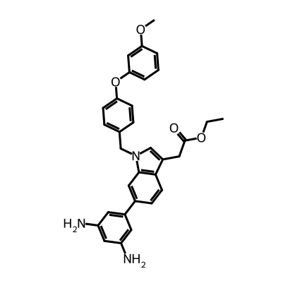 CCOC(=O)Cc1cn(Cc2ccc(Oc3cccc(OC)c3)cc2)c2cc(-c3cc(N)cc(N)c3)ccc12